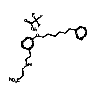 O=C(O)C(F)(F)F.O=C(O)CCNCCc1cccc(OCCCCCCc2ccccc2)c1